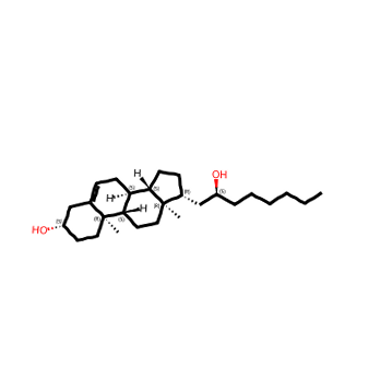 CCCCCC[C@H](O)C[C@H]1CC[C@H]2[C@@H]3CC=C4C[C@@H](O)CC[C@]4(C)[C@H]3CC[C@]12C